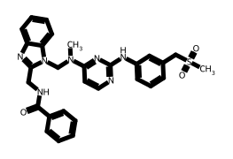 CN(Cn1c(CNC(=O)c2ccccc2)nc2ccccc21)c1ccnc(Nc2cccc(CS(C)(=O)=O)c2)n1